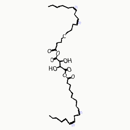 CCCCC/C=C\C/C=C\CCCCCCCC(=O)OC(=O)C(O)C(O)C(=O)OC(=O)CCCCCCC/C=C\C/C=C\CCCCC